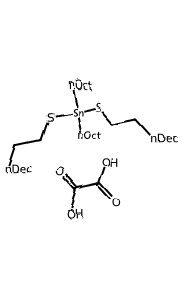 CCCCCCCCCCCC[S][Sn]([CH2]CCCCCCC)([CH2]CCCCCCC)[S]CCCCCCCCCCCC.O=C(O)C(=O)O